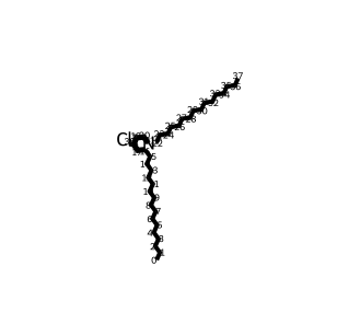 CCCCCCCCCCCCCCCCc1cccc[n+]1CCCCCCCCCCCCCCCC.[Cl-]